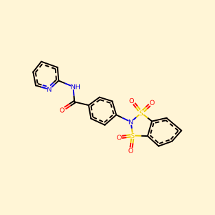 O=C(Nc1ccccn1)c1ccc(N2S(=O)(=O)c3ccccc3S2(=O)=O)cc1